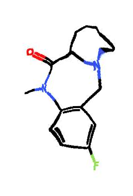 CN1C(=O)C2CCCN2Cc2cc(F)ccc21